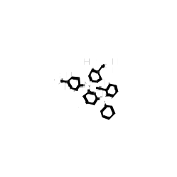 CC(C)(C)c1ccc(N(c2ccc(C(C)(C)C)cc2)c2cc(O)cc(N(c3ccccc3)c3ccccc3C(C)(C)C)c2)cc1